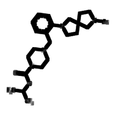 CC(=O)N1CCC2(CCN(c3ccccc3CN3CCN(C(=O)OC(C(F)(F)F)C(F)(F)F)CC3)C2)C1